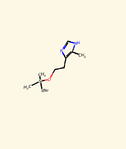 Cc1[nH]cnc1CCO[Si](C)(C)C(C)(C)C